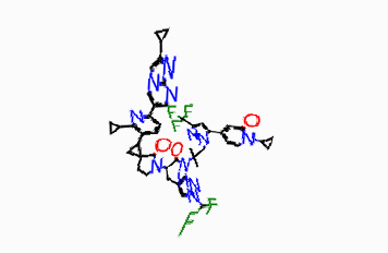 CC(C)(Cn1nc(C(F)(F)F)cc1-c1ccn(C2CC2)c(=O)c1)NC(=O)[C@@H](Cc1cnn(C(F)F)c1)N1CCC2(CC2c2ccc(-c3cnc4nc(C5CC5)cn4c3)nc2C2CC2)C1=O